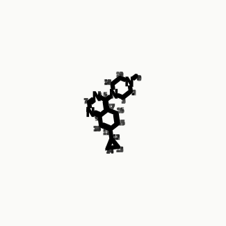 CN1CCN(c2ncnc3cc(C4CC4)ccc23)CC1